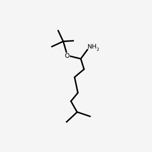 CC(C)CCCCC(N)OC(C)(C)C